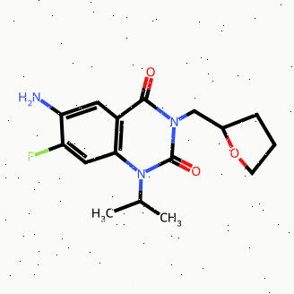 CC(C)n1c(=O)n(CC2CCCO2)c(=O)c2cc(N)c(F)cc21